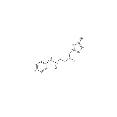 CN(CCC(=O)Nc1ccccc1)Cc1cc(Br)cs1